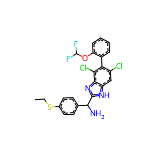 CCSc1ccc(C(N)c2nc3c(Cl)c(-c4ccccc4OC(F)F)c(Cl)cc3[nH]2)cc1